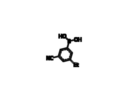 CCc1cc(C#N)cc(B(O)O)c1